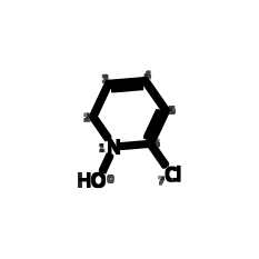 ON1CC=CC=C1Cl